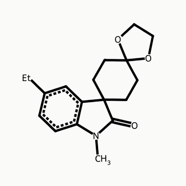 CCc1ccc2c(c1)C1(CCC3(CC1)OCCO3)C(=O)N2C